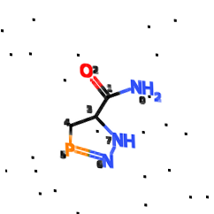 NC(=O)C1CP=NN1